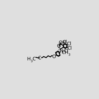 CCCCCCCCCCOc1ccc(N(C)C(=S)c2c(Cl)c(Cl)c(Cl)c(Cl)c2C(=O)O)cc1